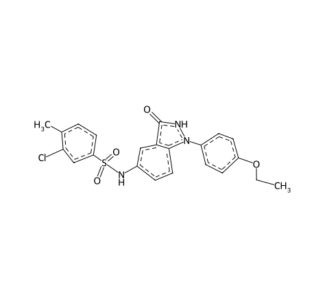 CCOc1ccc(-n2[nH]c(=O)c3cc(NS(=O)(=O)c4ccc(C)c(Cl)c4)ccc32)cc1